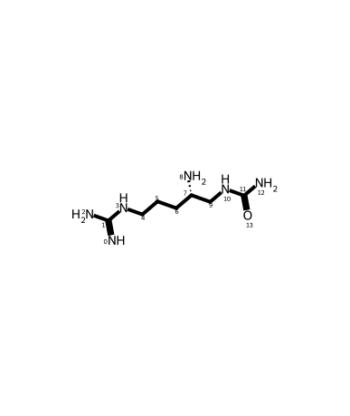 N=C(N)NCCC[C@H](N)CNC(N)=O